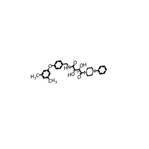 Cc1cc(C)cc(Oc2ccc(CNC(=O)[C@H](O)[C@@H](O)C(=O)N3CCN(c4ccccc4)CC3)cc2)c1